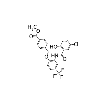 COC(=O)c1ccc(COc2ccc(C(F)(F)F)cc2NC(=O)c2cc(Cl)ccc2O)cc1